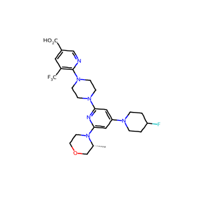 C[C@@H]1COCCN1c1cc(N2CCC(F)CC2)cc(N2CCN(c3ncc(C(=O)O)cc3C(F)(F)F)CC2)n1